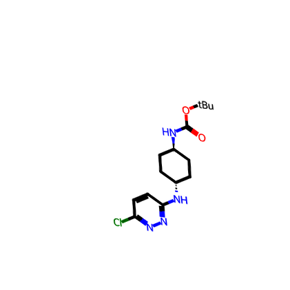 CC(C)(C)OC(=O)N[C@H]1CC[C@H](Nc2ccc(Cl)nn2)CC1